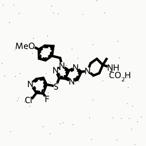 COc1ccc(Cn2nc(Sc3ccnc(Cl)c3F)c3ncc(N4CCC(C)(NC(=O)O)CC4)nc32)cc1